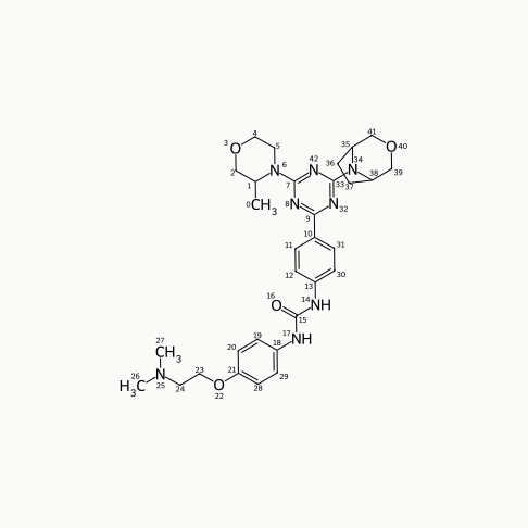 CC1COCCN1c1nc(-c2ccc(NC(=O)Nc3ccc(OCCN(C)C)cc3)cc2)nc(N2C3CCC2COC3)n1